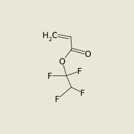 C=CC(=O)OC(F)(F)C(F)F